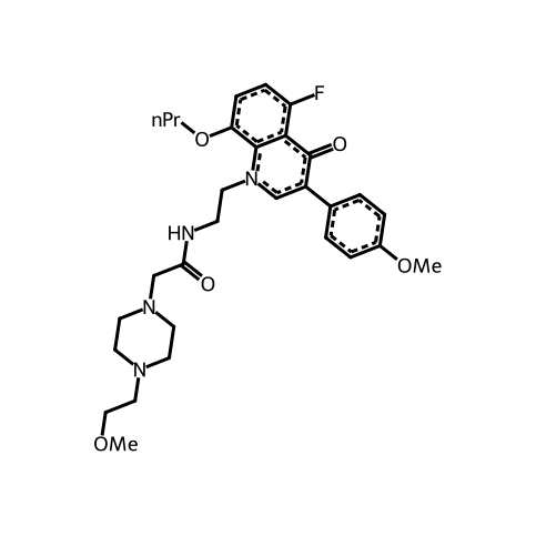 CCCOc1ccc(F)c2c(=O)c(-c3ccc(OC)cc3)cn(CCNC(=O)CN3CCN(CCOC)CC3)c12